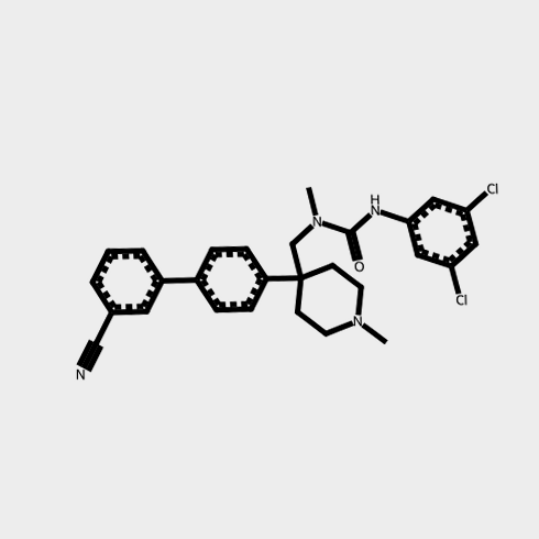 CN1CCC(CN(C)C(=O)Nc2cc(Cl)cc(Cl)c2)(c2ccc(-c3cccc(C#N)c3)cc2)CC1